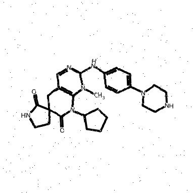 CN1C2=C(C=NC1Nc1ccc(N3CCNCC3)cc1)CC1(CCNC1=O)C(=O)N2C1CCCC1